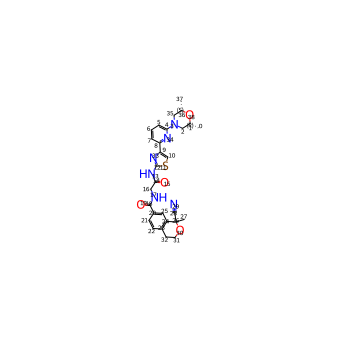 C[C@@H]1CN(c2cccc(-c3csc(NC(=O)CNC(=O)c4ccc5c(c4)C(C)(C#N)OCC5)n3)n2)C[C@H](C)O1